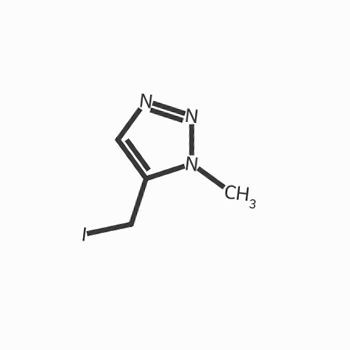 Cn1nncc1CI